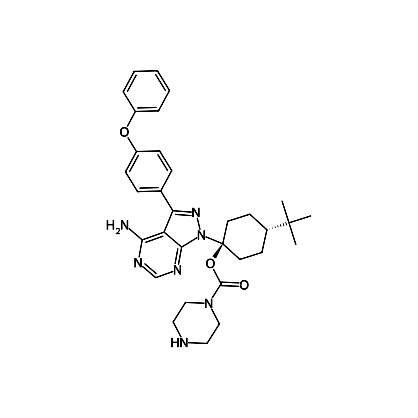 CC(C)(C)[C@H]1CC[C@@](OC(=O)N2CCNCC2)(n2nc(-c3ccc(Oc4ccccc4)cc3)c3c(N)ncnc32)CC1